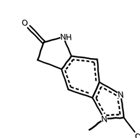 Cn1c(O)nc2cc3c(cc21)CC(=O)N3